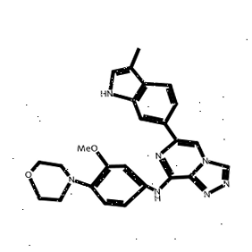 COc1cc(Nc2nc(-c3ccc4c(C)c[nH]c4c3)cn3cnnc23)ccc1N1CCOCC1